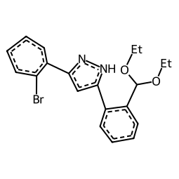 CCOC(OCC)c1ccccc1-c1cc(-c2ccccc2Br)n[nH]1